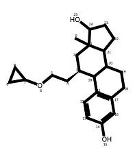 CC12C[C@H](CCOC3CC3)C3c4ccc(O)cc4CCC3C1CCC2O